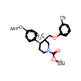 COc1ccc([C@@H]2CCN(C(=O)OC(C)(C)C)C[C@]2(C)COc2cccc(C#N)c2)cc1